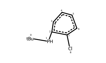 CC(C)(C)Pc1ccccc1Cl